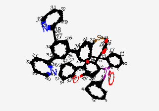 O=P1(c2ccccc2)c2ccccc2C2(c3ccccc3Sc3cc(-c4cc(-c5ccccn5)cc(-c5ccccn5)c4)ccc32)c2cc3c(cc21)oc1ccccc13